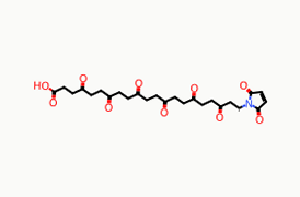 O=C(O)CCC(=O)CCC(=O)CCC(=O)CCC(=O)CCC(=O)CCC(=O)C[CH]N1C(=O)C=CC1=O